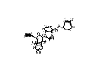 C#C[C@H]1O[C@@H](n2cnc3c(NCC4CCCCC4)ncnc32)[C@@H]2OC(C)(C)O[C@@H]21